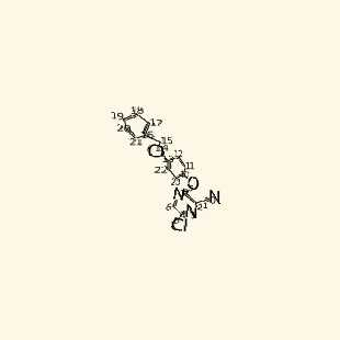 N#Cc1nc(Cl)cnc1Oc1ccc(OCc2ccccc2)cc1